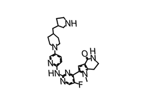 Cn1c(-c2nc(Nc3ccc(N4CCC(CC5CCNC5)CC4)cn3)ncc2F)cc2c1CCNC2=O